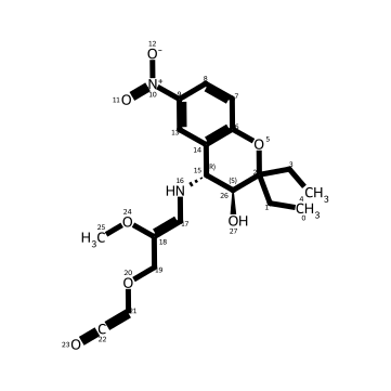 CCC1(CC)Oc2ccc([N+](=O)[O-])cc2[C@@H](NC=C(COC=C=O)OC)[C@@H]1O